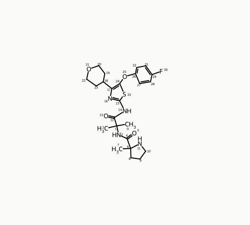 CC(C)(NC(=O)C1(C)CCCN1)C(=O)Nc1nc(C2CCOCC2)c(Oc2ccc(F)cc2)s1